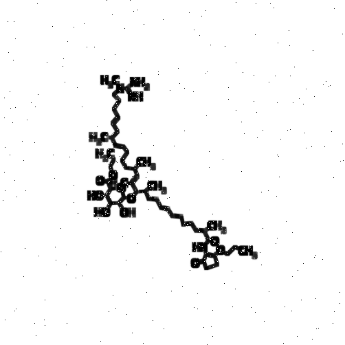 CCCOC(=O)C1OC(OC(/C(C)=C/C(C)CCC/C=C/C(C)C/C=C/CCCN(C)C(=N)N)C(C)/C=C/C=C/C=C/C=C/C=C(\C)C(=O)NC2=C(OCCC)CCC2=O)C(O)C(O)C1O